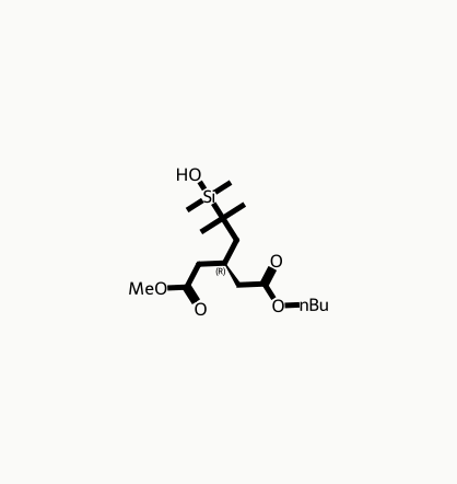 CCCCOC(=O)C[C@@H](CC(=O)OC)CC(C)(C)[Si](C)(C)O